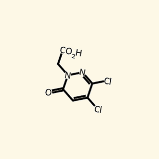 O=C(O)Cn1nc(Cl)c(Cl)cc1=O